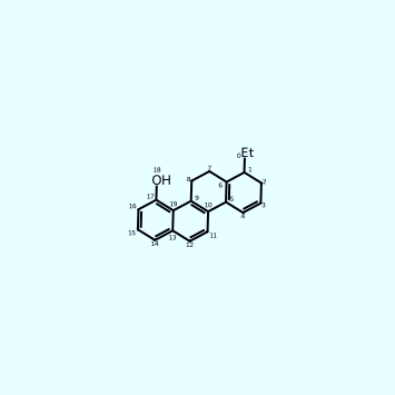 CCC1CC=CC2=C1CCc1c2ccc2cccc(O)c12